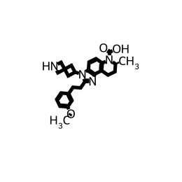 COc1cccc(CCc2nc3c4c(ccc3n2C2CC3(CNC3)C2)N(C(=O)O)[C@@H](C)CC4)c1